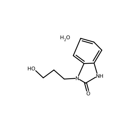 O.O=c1[nH]c2ccccc2n1CCCO